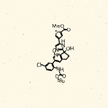 COC(=O)c1cc(-c2cnc(C3(O)CCc4cc(-c5cc(Cl)ccc5NC(=O)OC(C)(C)C)c[n+]([O-])c43)[nH]2)cs1